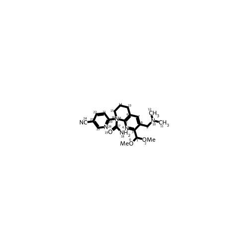 COC(OC)c1nc2c(cc1CN(C)C)CCC[N+]2(C(N)=O)c1ccc(C#N)cn1